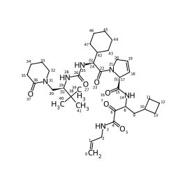 C=CCNC(=O)C(=O)C(CC1CCC1)NC(=O)[C@@H]1C=CCN1C(=O)[C@@H](NC(=O)N[C@H](CN1CCCCC1=O)C(C)(C)C)C1CCCCC1